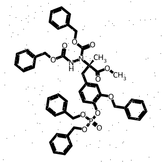 COC(=O)[C@](C)(Cc1ccc(OP(=O)(OCc2ccccc2)OCc2ccccc2)c(OCc2ccccc2)c1)N(NC(=O)OCc1ccccc1)C(=O)OCc1ccccc1